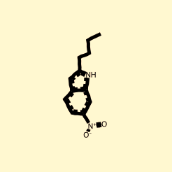 CCCCc1cc2ccc([N+](=O)[O-])cc2[nH]1